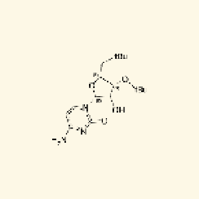 CC(C)(C)C[C@H]1O[C@@H](n2ccc(N)nc2=O)C(O)[C@H]1OC(C)(C)C